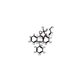 CC/C=C\[C@@H]1N=C(c2ccccc2P(c2ccccc2)c2ccccc2)OC1(C)C